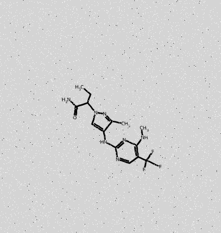 CCC(C(N)=O)n1cc(Nc2ncc(C(F)(F)F)c(NC)n2)c(C)n1